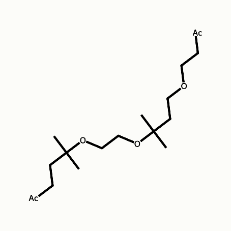 CC(=O)CCOCCC(C)(C)OCCOC(C)(C)CCC(C)=O